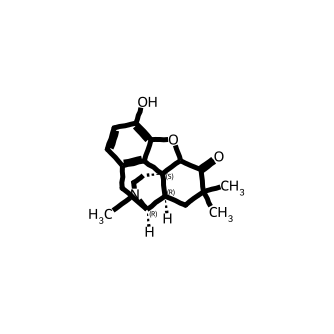 CN1CC[C@]23c4c5ccc(O)c4OC2C(=O)C(C)(C)C[C@H]3[C@H]1C5